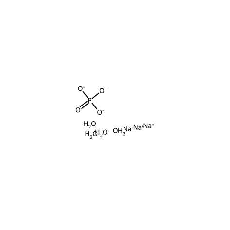 O.O.O.O.O=P([O-])([O-])[O-].[Na+].[Na+].[Na+]